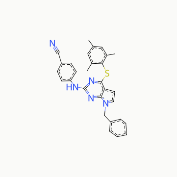 Cc1cc(C)c(Sc2nc(Nc3ccc(C#N)cc3)nc3c2ccn3Cc2ccccc2)c(C)c1